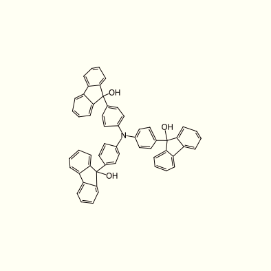 OC1(c2ccc(N(c3ccc(C4(O)c5ccccc5-c5ccccc54)cc3)c3ccc(C4(O)c5ccccc5-c5ccccc54)cc3)cc2)c2ccccc2-c2ccccc21